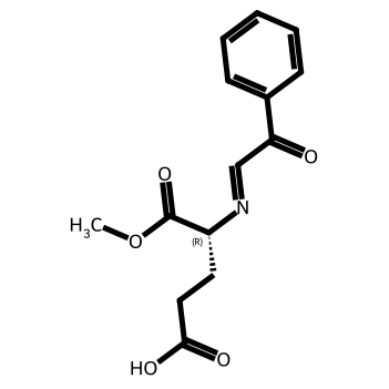 COC(=O)[C@@H](CCC(=O)O)N=CC(=O)c1ccccc1